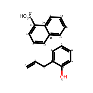 C=CCc1ccccc1O.O=S(=O)(O)c1cccc2ccccc12